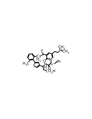 Cc1cccc(C)c1-c1cc(C(CC(=O)O)NC(=O)[C@@H](CC(C)C)n2cc(CCN(C)C)cc(C(F)F)c2=O)cs1